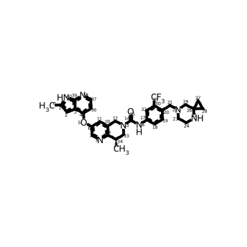 Cc1cc2c(Oc3cnc4c(c3)CN(C(=O)Nc3ccc(CN5CCNC6(CC6)C5)c(C(F)(F)F)c3)C[C@H]4C)ccnc2[nH]1